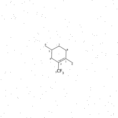 CC1=C(C(F)(F)F)CC(C)CC1